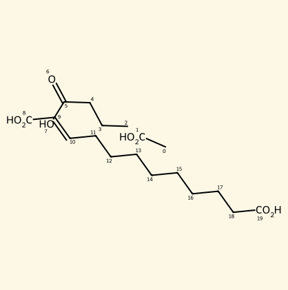 CC(=O)O.CCCC(=O)O.O=C(O)C=CCCCCCCCCC(=O)O